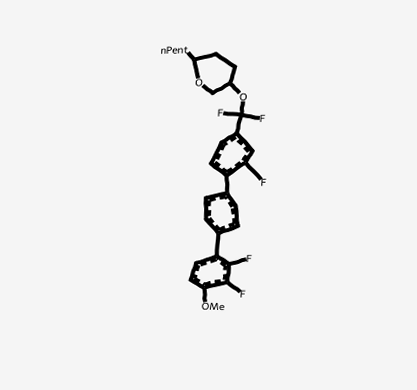 CCCCCC1CCC(OC(F)(F)c2ccc(-c3ccc(-c4ccc(OC)c(F)c4F)cc3)c(F)c2)CO1